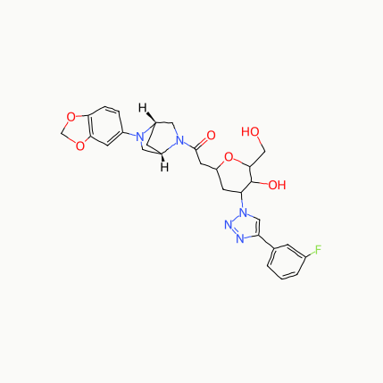 O=C(CC1CC(n2cc(-c3cccc(F)c3)nn2)C(O)C(CO)O1)N1C[C@@H]2C[C@H]1CN2c1ccc2c(c1)OCO2